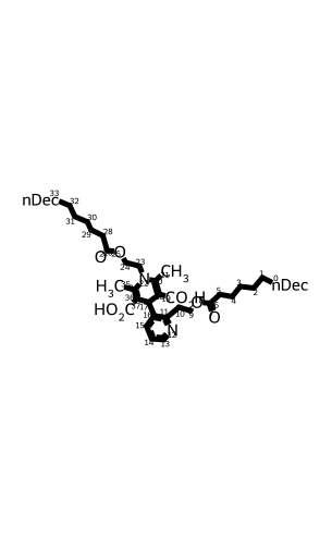 CCCCCCCCCCCCCCCC(=O)OCCc1ncccc1C1C(C(=O)O)=C(C)N(CCOC(=O)CCCCCCCCCCCCCCC)C(C)=C1C(=O)O